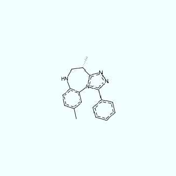 Cc1ccc2c(c1)-n1c(-c3ccccc3)nnc1[C@@H](C)CN2